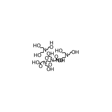 O=C(O)CN(CCN(CC(=O)O)CC(=O)O)CC(=O)O.OCCN(CCO)CCO.OCCN(CCO)CCO